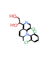 CC1C=Cc2c(C(O)CO)ncc(Cl)c2N1c1c(Cl)cccc1Cl